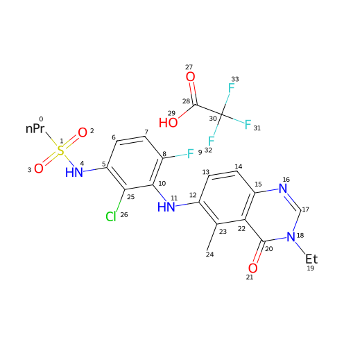 CCCS(=O)(=O)Nc1ccc(F)c(Nc2ccc3ncn(CC)c(=O)c3c2C)c1Cl.O=C(O)C(F)(F)F